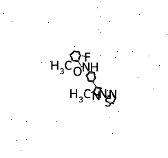 Cc1cccc(F)c1C(=O)Nc1ccc(-c2cn(-c3nccs3)nc2C)cc1